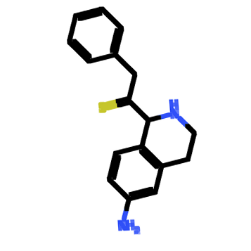 Nc1ccc2c(c1)CCNC2C(=S)Cc1ccccc1